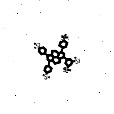 C[Si](C)(C)c1ccc(-c2cc(-c3ccc([Si](C)(C)C)cc3)c3ccc4c(-c5cc([Si](C)(C)C)cc([Si](C)(C)C)c5)cc(-c5ccc([Si](C)(C)C)cc5)c5ccc2c3c54)cc1